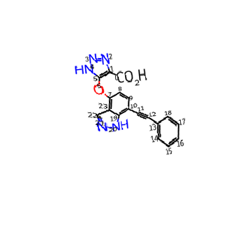 O=C(O)c1nn[nH]c1Oc1ccc(C#Cc2ccccc2)c2[nH]ncc12